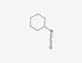 O=C=NC1CC[CH]CC1